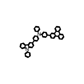 c1ccc(N(c2ccc(-c3ccc4c5ccccc5c5ccccc5c4c3)cc2)c2ccc(-c3ccc4c(c3)c3ccccc3n4-c3ccccc3)cc2)cc1